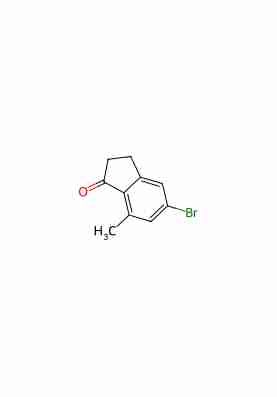 Cc1cc(Br)cc2c1C(=O)CC2